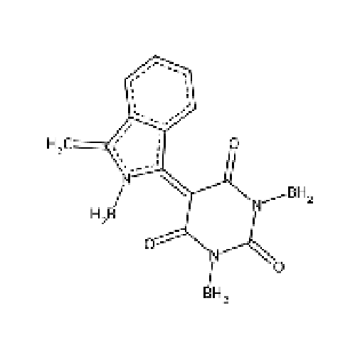 BN1C(=O)C(=c2c3ccccc3c(=C)n2B)C(=O)N(B)C1=O